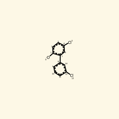 [O]c1ccc(Cl)cc1-c1cccc(Cl)c1